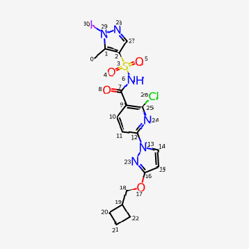 Cc1c(S(=O)(=O)NC(=O)c2ccc(-n3ccc(OCC4CCC4)n3)nc2Cl)cnn1I